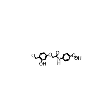 O=Cc1ccc(OCC(=O)Nc2ccc(OO)cc2)cc1O